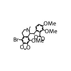 COc1ccc2c(c1OC)C(=O)O[C@@H]2[C@H]1c2c(c(Br)c3c(c2OC)OCO3)CCN1C